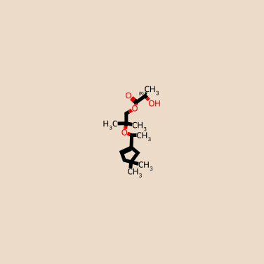 CC(OC(C)(C)COC(=O)[C@@H](C)O)C1=CCC(C)(C)C1